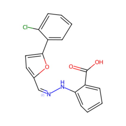 O=C(O)c1ccccc1N/N=C\c1ccc(-c2ccccc2Cl)o1